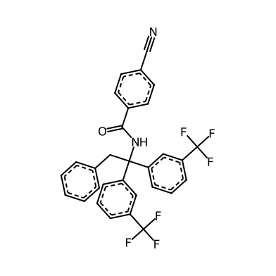 N#Cc1ccc(C(=O)NC(Cc2ccccc2)(c2cccc(C(F)(F)F)c2)c2cccc(C(F)(F)F)c2)cc1